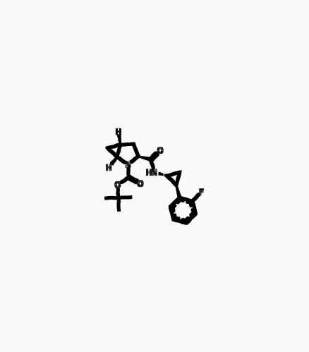 CC(C)(C)OC(=O)N1[C@@H]2C[C@@H]2C[C@H]1C(=O)N[C@@H]1C[C@H]1c1ccccc1F